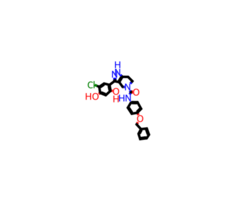 O=C(Nc1ccc(OCc2ccccc2)cc1)N1CCc2[nH]nc(-c3cc(Cl)c(O)cc3O)c2C1